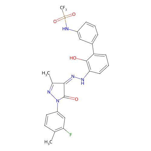 CC1=NN(c2ccc(C)c(F)c2)C(=O)C1=NNc1cccc(-c2cccc(NS(=O)(=O)C(F)(F)F)c2)c1O